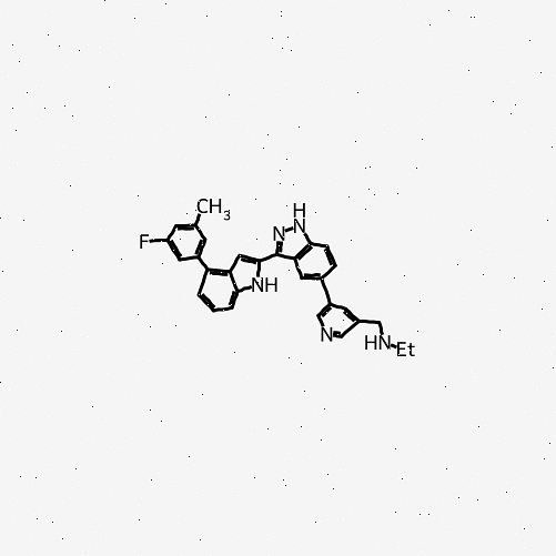 CCNCc1cncc(-c2ccc3[nH]nc(-c4cc5c(-c6cc(C)cc(F)c6)cccc5[nH]4)c3c2)c1